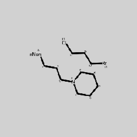 CCCCCCCCCCCCN1CCCCC1.ClCCCBr